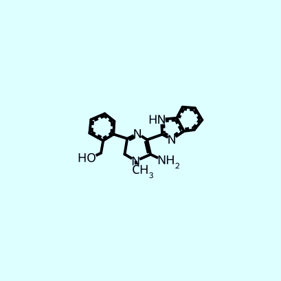 CN1CC(c2ccccc2CO)=NC(c2nc3ccccc3[nH]2)=C1N